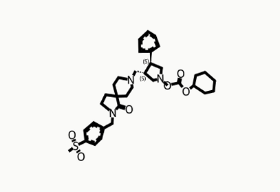 CS(=O)(=O)c1ccc(CN2CCC3(CCN(C[C@H]4CN(OC(=O)OC5CCCCC5)C[C@@H]4c4ccccc4)CC3)C2=O)cc1